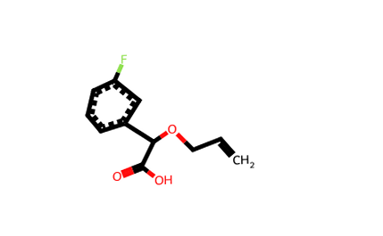 C=CCOC(C(=O)O)c1cccc(F)c1